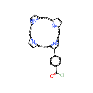 O=C(Cl)c1ccc(-c2cc3cc4nc(cc5ccc(cc6nc(cc2[nH]3)C=C6)[nH]5)C=C4)cc1